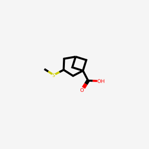 CSC1CC2CC(C(=O)O)(C2)C1